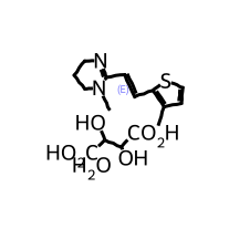 Cc1ccsc1/C=C/C1=NCCCN1C.O.O=C(O)C(O)C(O)C(=O)O